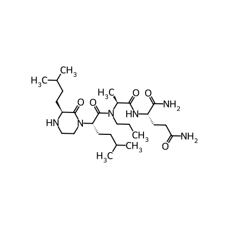 CCCN(C(=O)[C@H](CCC(C)C)N1CCN[C@@H](CCC(C)C)C1=O)[C@@H](C)C(=O)N[C@@H](CCC(N)=O)C(N)=O